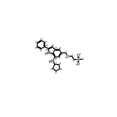 CS(=O)(=O)CCOCc1cc(NC2CCCC2)c2[nH]c(-c3ccccc3)cc2c1